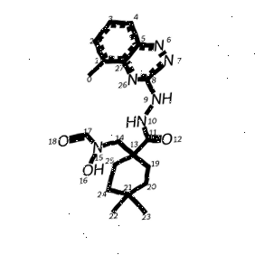 Cc1cccc2nnc(NNC(=O)C3(CN(O)C=O)CCC(C)(C)CC3)nc12